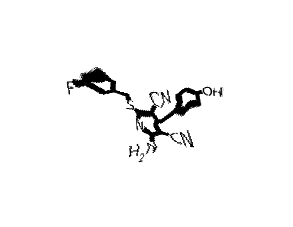 N#Cc1c(N)nc(SCc2cccc(F)c2)c(C#N)c1-c1ccc(O)cc1